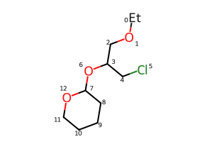 CCOCC(CCl)OC1CCCCO1